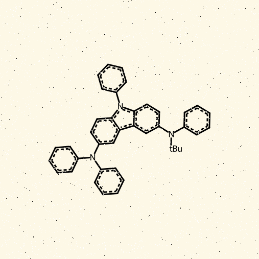 CC(C)(C)N(c1ccccc1)c1ccc2c(c1)c1cc(N(c3ccccc3)c3ccccc3)ccc1n2-c1ccccc1